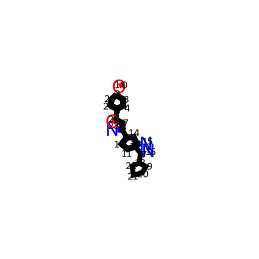 COc1ccc(-c2cc(-c3ccc4c(c3)N=NC4C3CCCC3)no2)cc1